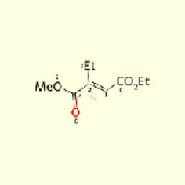 CCOC(=O)/C=C(\CC)C(=O)OC